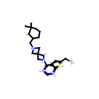 CC1(C)CCCC(CN2CC3(C2)CN(c2ncnc4sc(CC(F)(F)F)cc24)C3)C1